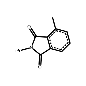 Cc1cccc2c1C(=O)N(C(C)C)C2=O